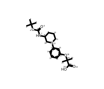 CC(C)(C)OC(=O)NC1CCCN(c2cccc(OC(C)(C)C(=O)O)c2)C1